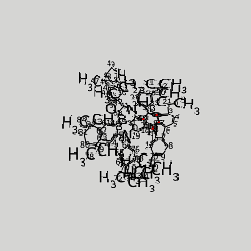 CC(C)c1ccc2c3ccc(C(C)(C)C)cc3n(-c3cc4c5c(c3)N(c3ccc(C(C)(C)C)cc3-c3ccccc3)C3C6=C(C=C7C(C)C8CCC(C)(C8)C7(C)C6)OC3B5c3cc5c(cc3N4c3ccc(C(C)(C)C)cc3)C(C)(C)CCC5(C)C)c2c1